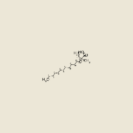 CCCCCCCCCCCCOC(C)(CC)C(=O)O